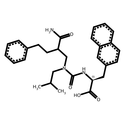 CC(C)CN(CC(CCc1ccccc1)C(N)=O)C(=O)N[C@@H](Cc1ccc2ccccc2c1)C(=O)O